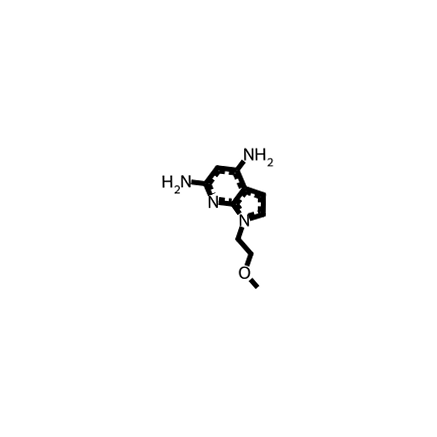 COCCn1ccc2c(N)cc(N)nc21